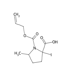 C=CCOC(=O)N1C(C)CCC1(I)C(=O)O